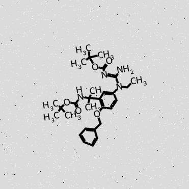 CCN(C(N)=NC(=O)OC(C)(C)C)c1ccc(OCc2ccccc2)c(C(C)(C)NC(=O)OC(C)(C)C)c1